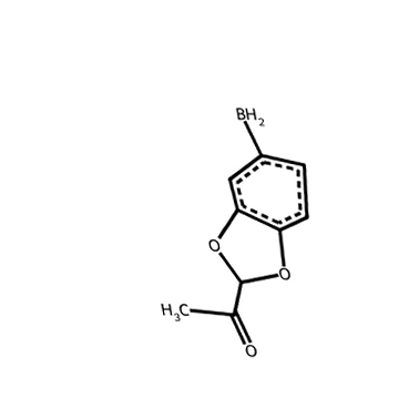 Bc1ccc2c(c1)OC(C(C)=O)O2